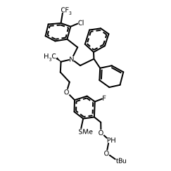 CSc1cc(OCC[C@@H](C)N(Cc2cccc(C(F)(F)F)c2Cl)CC(C2=CCCC=C2)c2ccccc2)cc(F)c1COPOC(C)(C)C